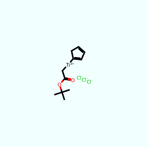 CC(C)(C)OC(=O)[CH2][Ti+3][C]1=CC=CC1.[Cl-].[Cl-].[Cl-]